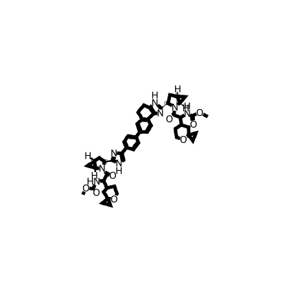 COC(=O)NC(C(=O)N1[C@@H]2C[C@@H]2C[C@H]1c1nc(-c2ccc(-c3ccc4c(c3)CCc3[nH]c([C@@H]5C[C@H]6C[C@H]6N5C(=O)C(NC(=O)OC)C5CCOC6(CC6)C5)nc3-4)cc2)c[nH]1)C1CCOC2(CC2)C1